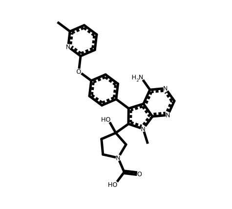 Cc1cccc(Oc2ccc(-c3c(C4(O)CCN(C(=O)O)C4)n(C)c4ncnc(N)c34)cc2)n1